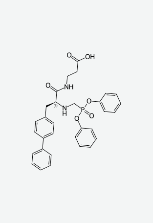 O=C(O)CCNC(=O)[C@H](Cc1ccc(-c2ccccc2)cc1)NCP(=O)(Oc1ccccc1)Oc1ccccc1